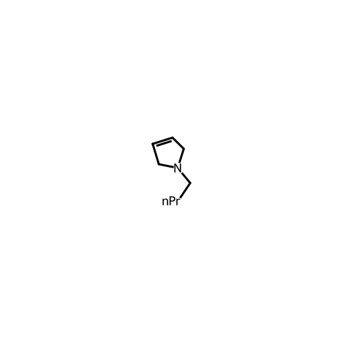 CCCCN1CC=CC1